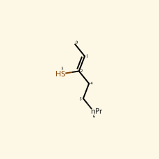 CC=C(S)CCCCC